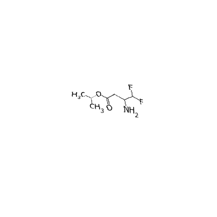 CC(C)OC(=O)CC(N)C(F)F